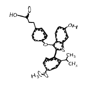 COc1ccc(-c2sc3cc(O)ccc3c2Oc2ccc(CCC(=O)O)cc2)c(C(C)C)c1